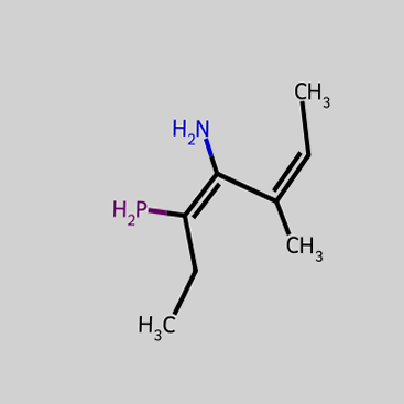 C/C=C(C)\C(N)=C(\P)CC